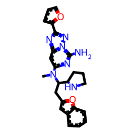 CN(c1cc2nc(-c3ccco3)nn2c(N)n1)C(Cc1cc2ccccc2o1)C1CCCN1